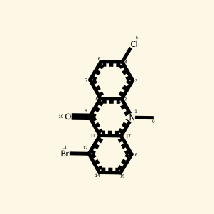 Cn1c2cc(Cl)ccc2c(=O)c2c(Br)cccc21